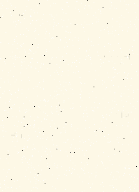 CCCCc1cc(C(C)(C)C)ccc1C(=O)O